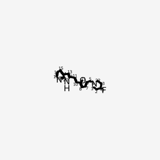 FC1CCN(Cc2ccc(/C=C/c3cc4cccnc4[nH]3)o2)CC1